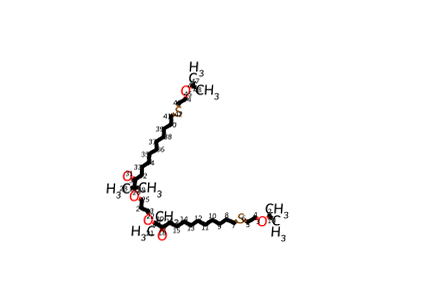 CC(C)OCCSCCCCCCCCCCC(=O)C(C)(C)OCCCOC(C)(C)C(=O)CCCCCCCCCCSCCOC(C)C